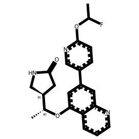 CC(F)Oc1ccc(-c2cc(O[C@H](C)[C@H]3CNC(=O)C3)c3cccnc3c2)cn1